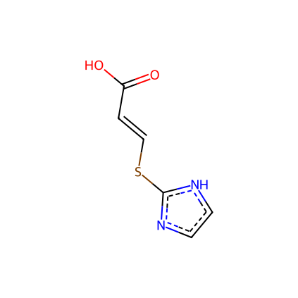 O=C(O)/C=C/Sc1ncc[nH]1